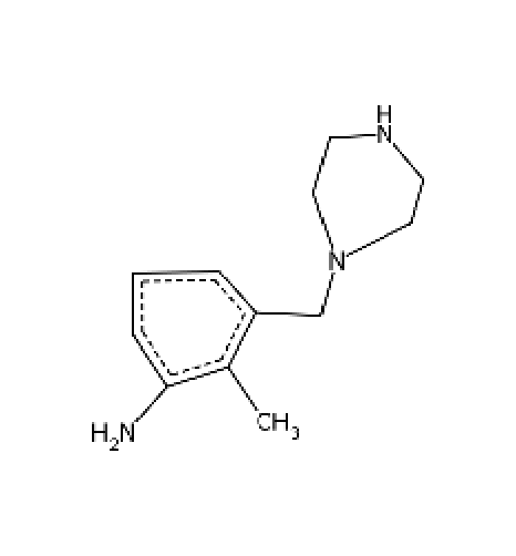 Cc1c(N)cccc1CN1CCNCC1